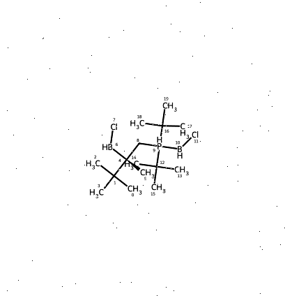 CC(C)(C)[C@](C)(BCl)C[PH](BCl)(C(C)(C)C)C(C)(C)C